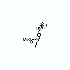 C=CCCCN(Cc1ccc(CCNC(=O)[C@]2(C)CCCN2)cc1)C(=O)CCC(=O)OC